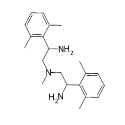 Cc1cccc(C)c1C(N)CN(C)CC(N)c1c(C)cccc1C